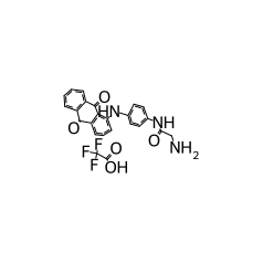 NCC(=O)Nc1ccc(Nc2cccc3c2C(=O)c2ccccc2C3=O)cc1.O=C(O)C(F)(F)F